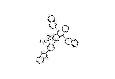 CC1(C)c2cc(-c3nc4ccccc4s3)ccc2-c2cc3c(-c4ccc5ccccc5c4)c4ccccc4c(-c4ccc5ccccc5c4)c3cc21